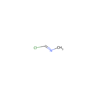 CN=CCl